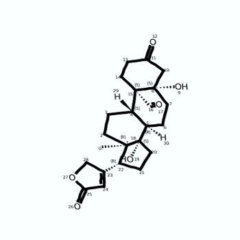 C[C@]12CC[C@H]3[C@@H](CC[C@]4(O)CC(=O)CC[C@]34C=O)[C@@]1(O)CC[C@@H]2C1=CC(=O)OC1